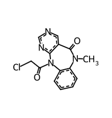 CN1C(=O)c2cncnc2N(C(=O)CCl)c2ccccc21